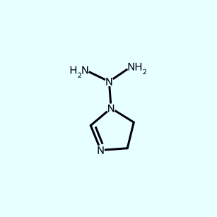 NN(N)N1C=NCC1